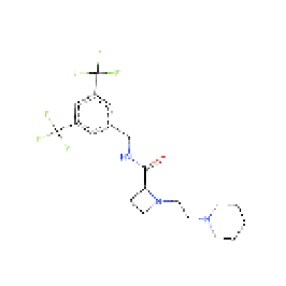 O=C(NCc1cc(C(F)(F)F)cc(C(F)(F)F)c1)[C@@H]1CCN1CCN1CCCCC1